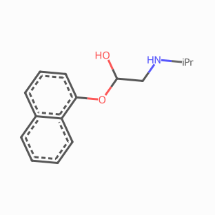 CC(C)NCC(O)Oc1cccc2ccccc12